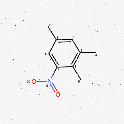 Cc1cc(C)c(C)c([N+](=O)[O-])c1